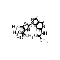 CC(=O)Nc1cc2c(cn1)cnn2-c1nc(C(C)(C)O)c(C)s1